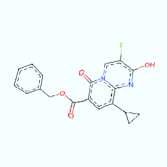 O=C(OCc1ccccc1)c1cc(C2CC2)c2nc(O)c(F)cn2c1=O